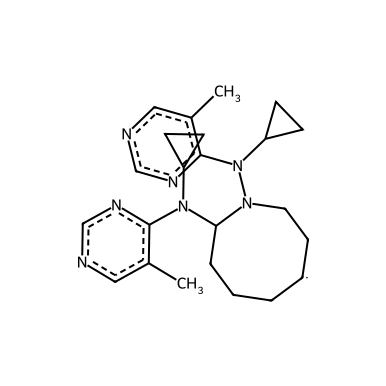 Cc1cncnc1N(C1CC1)C1CCC[CH]CCN1N(c1ncncc1C)C1CC1